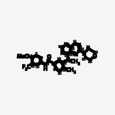 COc1ccc(NC(=O)c2ccc(C)c(N(C)c3ncnc4cnc(N5CCOCC5)nc34)c2)cc1C(F)(F)F